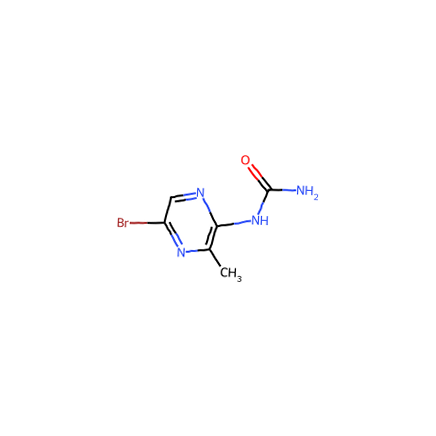 Cc1nc(Br)cnc1NC(N)=O